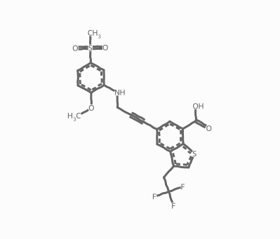 COc1ccc(S(C)(=O)=O)cc1NCC#Cc1cc(C(=O)O)c2scc(CC(F)(F)F)c2c1